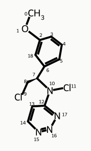 COc1cccc([C@H](CCl)N(Cl)c2ccnnn2)c1